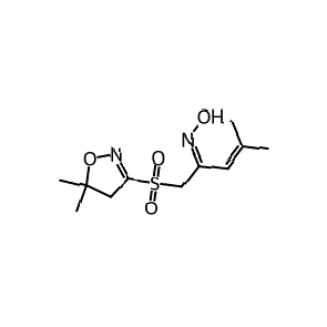 CC(C)=CC(CS(=O)(=O)C1=NOC(C)(C)C1)=NO